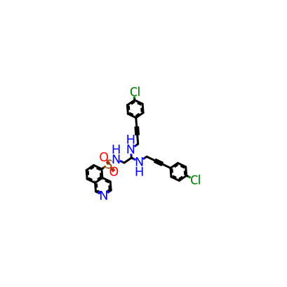 O=S(=O)(NCC(NCC#Cc1ccc(Cl)cc1)NCC#Cc1ccc(Cl)cc1)c1cccc2cnccc12